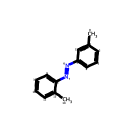 Cc1cccc(/N=N/c2ccccc2C)c1